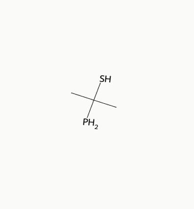 CC(C)(P)S